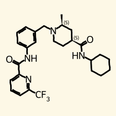 C[C@H]1C[C@@H](C(=O)NC2CCCCC2)CCN1Cc1cccc(NC(=O)c2cccc(C(F)(F)F)n2)c1